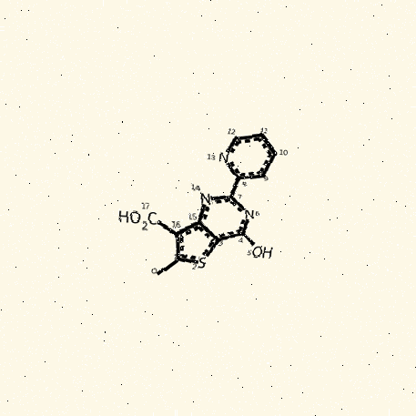 Cc1sc2c(O)nc(-c3ccccn3)nc2c1C(=O)O